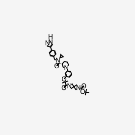 CC(C)(C)OC(=O)N1CC2(C1)CN(C(=O)C(C)(C)Oc1cccc(N3CCC[C@@H](C(=O)N(Cc4ccc(-c5cn[nH]c5)cc4)C4CC4)C3)c1)C2